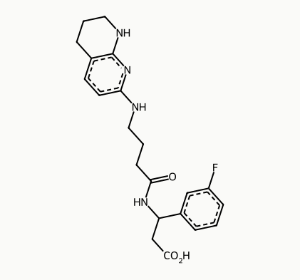 O=C(O)CC(NC(=O)CCCNc1ccc2c(n1)NCCC2)c1cccc(F)c1